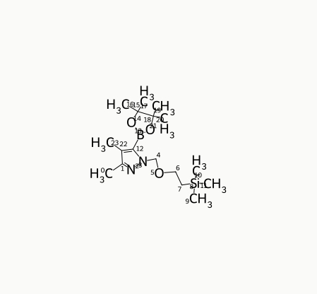 Cc1nn(COCC[Si](C)(C)C)c(B2OC(C)(C)C(C)(C)O2)c1C